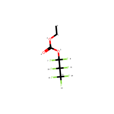 CCOC(=O)OC(F)(F)C(F)(F)C(F)(F)F